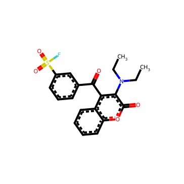 CCN(CC)c1c(C(=O)c2cccc(S(=O)(=O)F)c2)c2ccccc2oc1=O